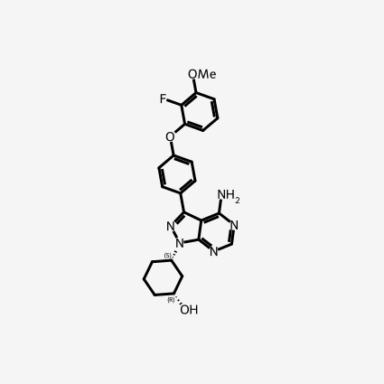 COc1cccc(Oc2ccc(-c3nn([C@H]4CCC[C@@H](O)C4)c4ncnc(N)c34)cc2)c1F